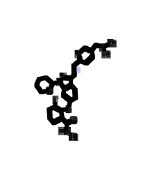 CCNC(=O)c1cccc(F)c1Sc1ccc2c(/C=C/c3ccc(CN(CC)CC)cn3)nn(C3CCCCO3)c2c1